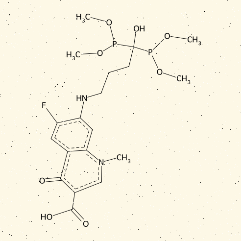 COP(OC)C(O)(CCCNc1cc2c(cc1F)c(=O)c(C(=O)O)cn2C)P(OC)OC